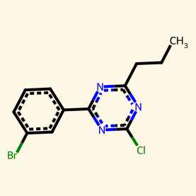 CCCc1nc(Cl)nc(-c2cccc(Br)c2)n1